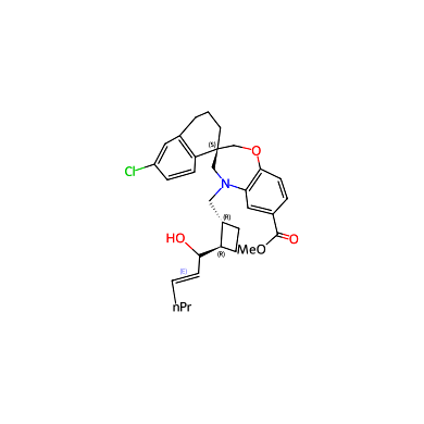 CCC/C=C/C(O)[C@@H]1CC[C@H]1CN1C[C@@]2(CCCc3cc(Cl)ccc32)COc2ccc(C(=O)OC)cc21